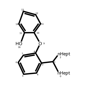 CCCCCCCC(CCCCCCC)c1ccccc1Oc1ccccc1O